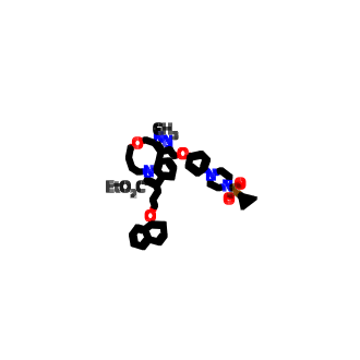 CCOC(=O)c1c(CCCOc2cccc3ccccc23)c2cccc3c2n1CCCCOCc1c-3c(COc2ccc(N3CCN(S(=O)(=O)C4CC4)CC3)cc2)nn1C